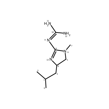 CC(C)CC1CN(C)C(N=C(N)N)=N1